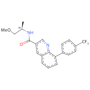 COC[C@@H](C)NC(=O)c1cnc2c(-c3ccc(C(F)(F)F)cc3)cccc2c1